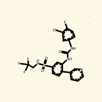 O=C(Nc1ccc(F)c(Cl)c1)Nc1cc(S(=O)(=O)NCC(F)(F)F)ccc1-c1cccnc1